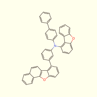 c1ccc(-c2ccc(N(c3cccc(-c4cccc5oc6c7ccccc7ccc6c45)c3)c3cccc4oc5ccccc5c34)cc2)cc1